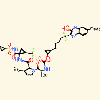 CCC1CCN(C(=O)[C@@H](NC(=O)OC2C[C@H]2CCCCC(F)(F)c2nc3ccc(OC)cc3nc2O)C(C)(C)C)[C@@H]1C(=O)NC1(C(=O)NS(=O)(=O)C2CC2)C[C@H]1C(F)F